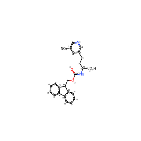 N#Cc1cncc(CC[C@H](NC(=O)OCC2c3ccccc3-c3ccccc32)C(=O)O)c1